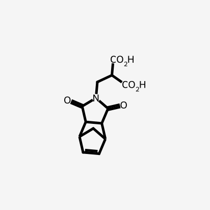 O=C(O)C(CN1C(=O)C2C3C=CC(C3)C2C1=O)C(=O)O